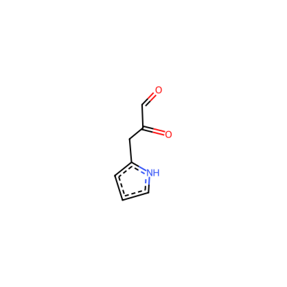 O=CC(=O)Cc1ccc[nH]1